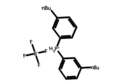 CCCCc1cccc([PH2+]c2cccc(CCCC)c2)c1.F[B-](F)(F)F